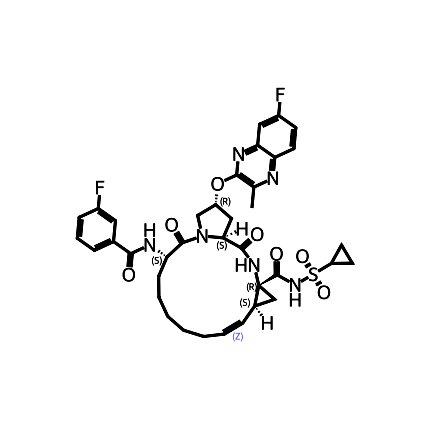 Cc1nc2ccc(F)cc2nc1O[C@@H]1C[C@H]2C(=O)N[C@]3(C(=O)NS(=O)(=O)C4CC4)C[C@H]3/C=C\CCCCC[C@H](NC(=O)c3cccc(F)c3)C(=O)N2C1